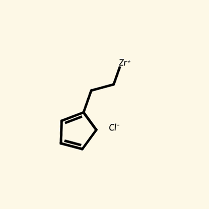 [Cl-].[Zr+][CH2]CC1=CC=CC1